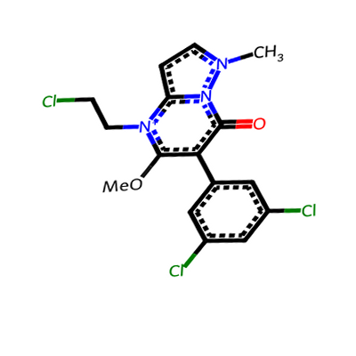 COc1c(-c2cc(Cl)cc(Cl)c2)c(=O)n2c(ccn2C)[n+]1CCCl